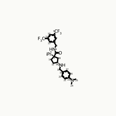 CC(C)[C@]1(C(=O)NCc2cc(C(F)(F)F)cc(C(F)(F)F)c2)CC[C@@H](NCc2ccc(N(C)C)cc2)C1